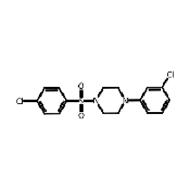 O=S(=O)(c1ccc(Cl)cc1)N1CCN(c2cccc(Cl)c2)CC1